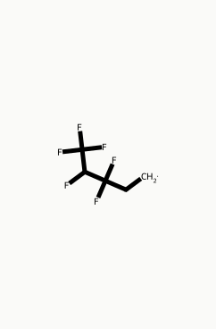 [CH2]CC(F)(F)[C](F)C(F)(F)F